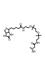 CCCN(C)CC(=O)NCCC(C)(C)OCCC(C)(C)OCCNC(=O)CCCCC1SCC2NC(=O)NC21